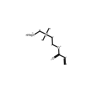 C=CC(=O)OCC[N+](C)(C)CCCCCCCC